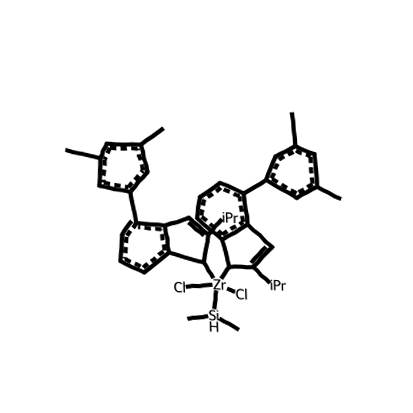 Cc1cc(C)cc(-c2cccc3c2C=C(C(C)C)[CH]3[Zr]([Cl])([Cl])([CH]2C(C(C)C)=Cc3c(-c4cc(C)cc(C)c4)cccc32)[SiH](C)C)c1